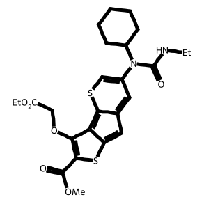 CCNC(=O)N(c1csc2c3c(OCC(=O)OCC)c(C(=O)OC)sc3cc-2c1)C1CCCCC1